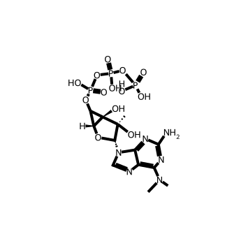 CN(C)c1nc(N)nc2c1ncn2[C@@H]1O[C@@H]2C(OP(=O)(O)OP(=O)(O)OP(=O)(O)O)[C@]2(O)[C@@]1(C)O